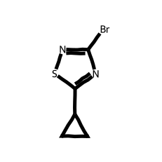 Brc1nsc(C2CC2)n1